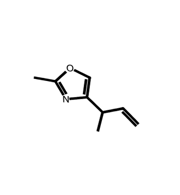 C=CC(C)c1coc(C)n1